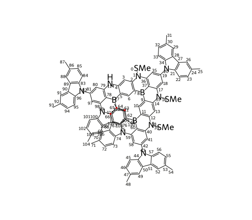 CSN1c2cc3c(cc2B2c4cc5c(cc4N(SC)c4cc(-n6c7ccc(C)cc7c7cc(C)ccc76)cc1c42)N(SC)c1cc(-n2c4ccc(C)cc4c4cc(C)ccc42)cc2c1B5c1cc(C)cc4c5cc(C)ccc5n-2c14)B1c2c(cc(-n4c5ccc(C)cc5c5cc(C)ccc54)cc2-n2c4ccc(C)cc4c4cc(C)cc1c42)N3